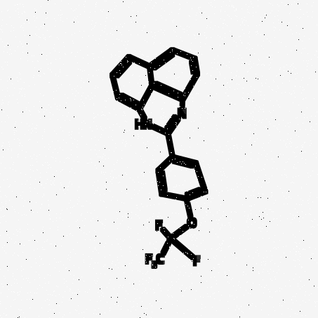 FC(F)(F)C(F)(F)Oc1ccc(C2=Nc3cccc4cccc(c34)N2)cc1